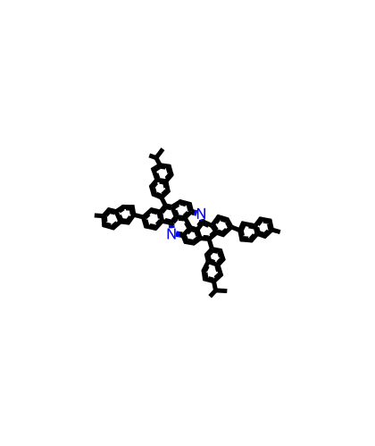 Cc1ccc2cc(-c3ccc4c(c3)c(-c3ccc5cc(C(C)C)ccc5c3)c3ccc5nc6c7ccc(-c8ccc9cc(C)ccc9c8)cc7c(-c7ccc8cc(C(C)C)ccc8c7)c7ccc8nc4c3c5c8c76)ccc2c1